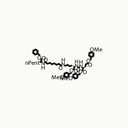 CCCCCC(NC(=O)CCCCCCC(=O)NCCCC[C@H](NC(=O)N[C@@H](CCC(=O)OCc1ccc(OC)cc1)C(=O)OCc1ccc(OC)cc1)C(=O)OCc1ccc(OC)cc1)C(=O)OCc1ccccc1